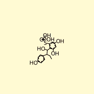 CCC(c1ccc(O)cc1)C(O)c1c(O)cc(O)cc1SP(=O)(O)O